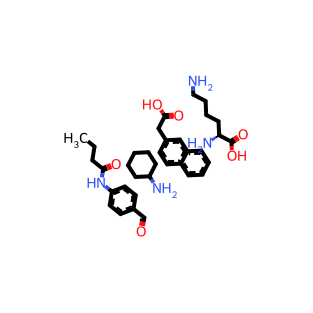 CCCC(=O)Nc1ccc(C=O)cc1.NC1CCCCC1.NCCCC[C@H](N)C(=O)O.O=C(O)Cc1ccc2ccccc2c1